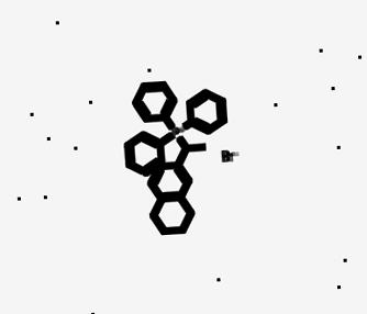 CC(c1ccc2c(c1)CCCC2)[P+](c1ccccc1)(c1ccccc1)c1ccccc1.[Br-]